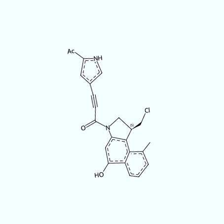 CC(=O)c1cc(C#CC(=O)N2C[C@@H](CCl)c3c2cc(O)c2cccc(C)c32)c[nH]1